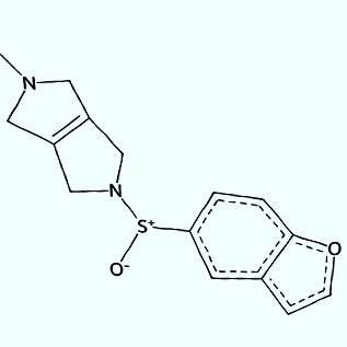 CN1CC2=C(C1)CN([S+]([O-])c1ccc3occc3c1)C2